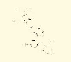 Cc1cc(Cl)cc(-c2ncnc3cc(CN4C(=O)C5C(C4O)C5(C)C)sc23)c1CN1CCNC[C@@H]1C